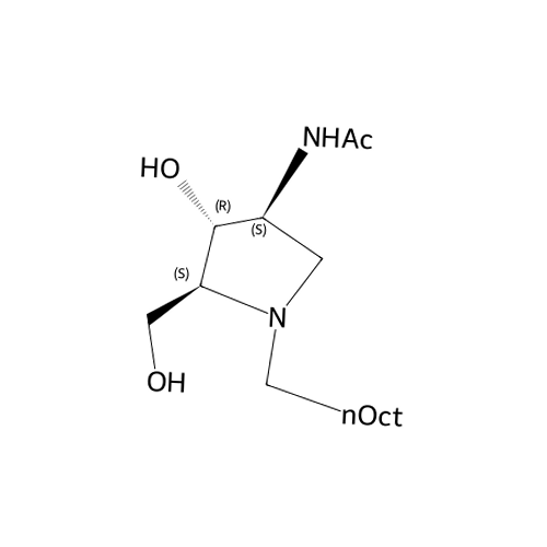 CCCCCCCCCN1C[C@H](NC(C)=O)[C@@H](O)[C@@H]1CO